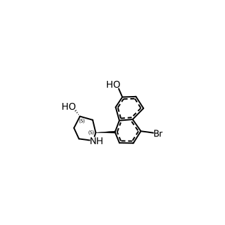 Oc1ccc2c(Br)ccc([C@@H]3C[C@@H](O)CCN3)c2c1